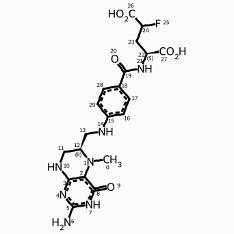 CN1c2c(nc(N)[nH]c2=O)NC[C@H]1CNc1ccc(C(=O)N[C@@H](CC(F)C(=O)O)C(=O)O)cc1